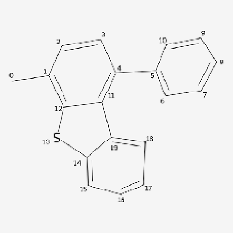 Cc1ccc(-c2ccccc2)c2c1sc1ccccc12